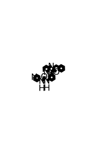 O=C(Nc1ccncc1)Nc1cccc(-n2c(=O)c(Cc3ccccc3)nc3cccnc32)c1